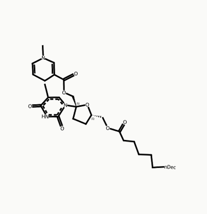 CCCCCCCCCCCCCCCC(=O)OC[C@@H]1CC[C@](COC(=O)C2=CN(C)C=CC2)(n2cc(C)c(=O)[nH]c2=O)O1